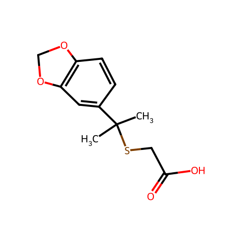 CC(C)(SCC(=O)O)c1ccc2c(c1)OCO2